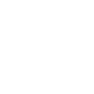 c1ccc2c(c1)cc(-c1cc(-c3ccc4ccc5cccc6ccc3c4c56)cc3c1oc1ccc4ccccc4c13)c1ccccc12